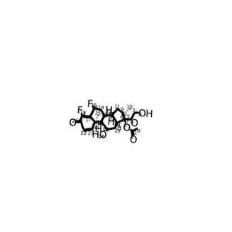 CC(=O)O[C@]1(C(=O)CO)[C@@H](C)C[C@H]2[C@@H]3C[C@H](F)C4=C(F)C(=O)C=C[C@]4(C)[C@H]3[C@@H](O)C[C@@]21C